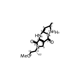 [2H]N1C(C)C=C2NC3=C(CN([C@H](C)COC)C3=O)C(=O)N21